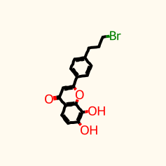 O=c1cc(-c2ccc(CCCBr)cc2)oc2c(O)c(O)ccc12